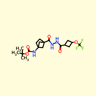 CC(C)(C)OC(=O)NC12CCC(C(=O)NNC(=O)C3CC(OC(F)(F)F)C3)(C1)C2